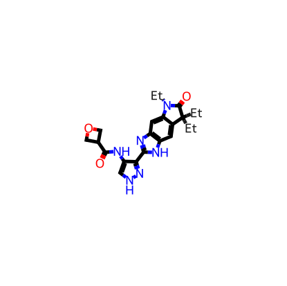 CCN1C(=O)C(CC)(CC)c2cc3[nH]c(-c4n[nH]cc4NC(=O)C4COC4)nc3cc21